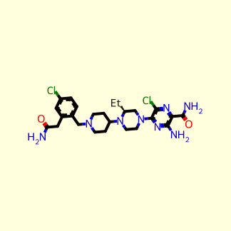 CC[C@H]1CN(c2nc(N)c(C(N)=O)nc2Cl)CCN1C1CCN(Cc2ccc(Cl)cc2CC(N)=O)CC1